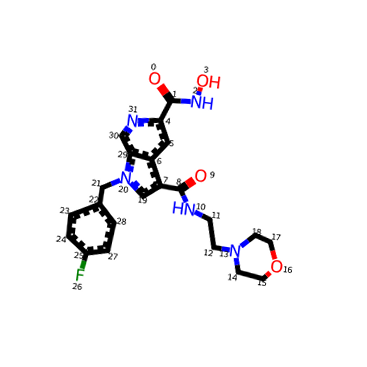 O=C(NO)c1cc2c(C(=O)NCCN3CCOCC3)cn(Cc3ccc(F)cc3)c2cn1